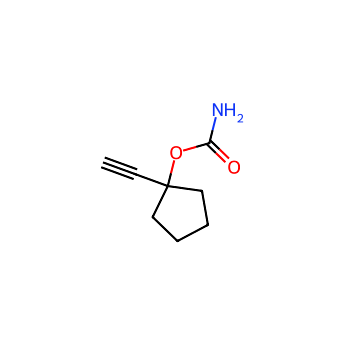 C#CC1(OC(N)=O)CCCC1